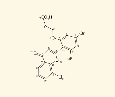 O=C(O)CCOc1cc(Br)cc(F)c1-c1cc(=O)c2cccc(Cl)c2o1